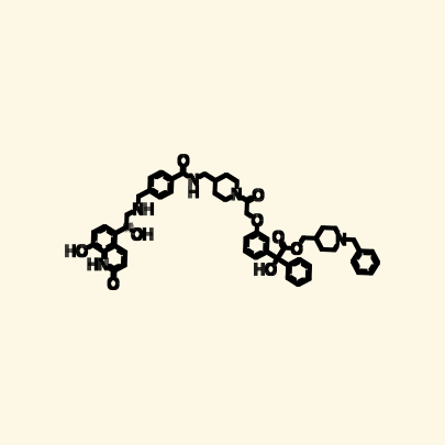 O=C(NCC1CCN(C(=O)COc2cccc(C(O)(C(=O)OCC3CCN(Cc4ccccc4)CC3)c3ccccc3)c2)CC1)c1ccc(CNC[C@H](O)c2ccc(O)c3[nH]c(=O)ccc23)cc1